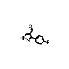 O=Cc1c[nH]nc1-c1ccc(F)cc1